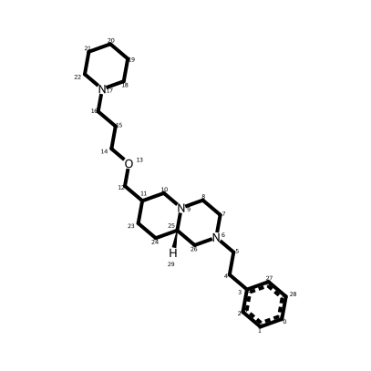 c1ccc(CCN2CCN3CC(COCCCN4CCCCC4)CC[C@H]3C2)cc1